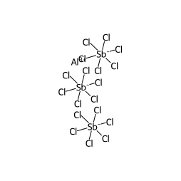 [Al+3].[Cl][Sb-]([Cl])([Cl])([Cl])([Cl])[Cl].[Cl][Sb-]([Cl])([Cl])([Cl])([Cl])[Cl].[Cl][Sb-]([Cl])([Cl])([Cl])([Cl])[Cl]